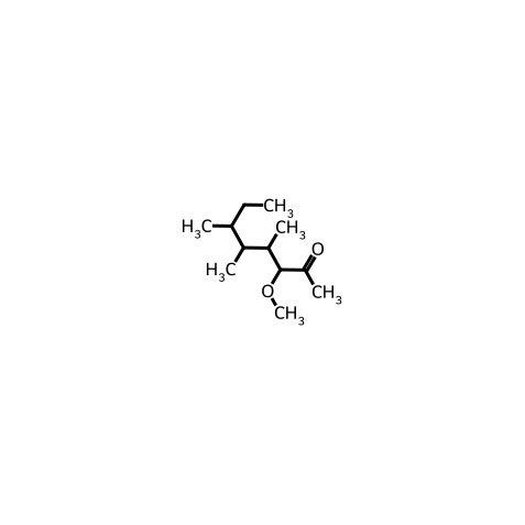 CCC(C)C(C)C(C)C(OC)C(C)=O